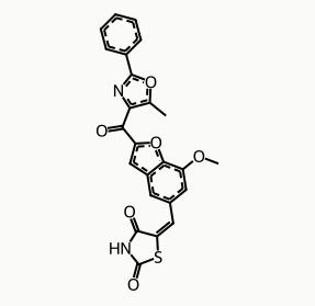 COc1cc(C=C2SC(=O)NC2=O)cc2cc(C(=O)c3nc(-c4ccccc4)oc3C)oc12